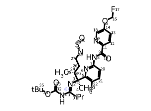 CC(C)/C(=N\[C@](C)(c1nc(NC(=O)c2ccc(OCF)cn2)ccc1F)[C@H](C)CCN=S=O)NC(=O)OC(C)(C)C